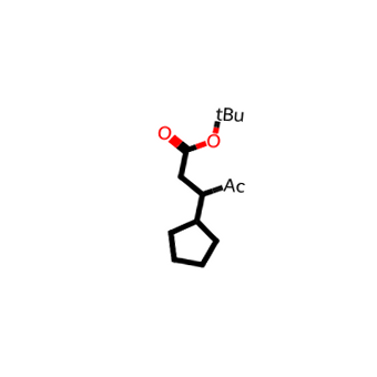 CC(=O)C(CC(=O)OC(C)(C)C)C1CCCC1